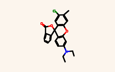 CCN(CC)c1ccc2c(c1)Oc1cc(C)c(Cl)cc1C21OC(=O)c2ccccc21